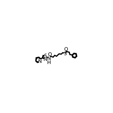 O=C(CCCCCCSC(=O)CCc1ccccc1)Nc1nc(-c2ccccn2)cs1